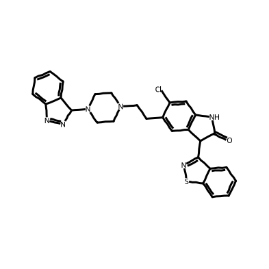 O=C1Nc2cc(Cl)c(CCN3CCN(C4N=Nc5ccccc54)CC3)cc2C1c1nsc2ccccc12